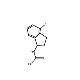 CC(C)C(=O)NC1CCc2c(F)cccc21